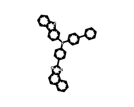 c1ccc(-c2ccc(N(c3ccc(-c4nc5c(ccc6ccccc65)o4)cc3)c3ccc4c(c3)sc3ccccc34)cc2)cc1